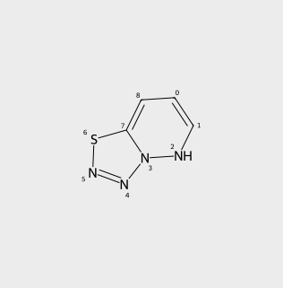 C1=CNN2N=NSC2=C1